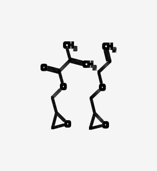 C=C(C)C(=O)OCC1CO1.C=CCOCC1CO1